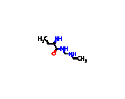 C=CNCNC(=O)C(=N)C=C